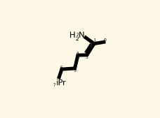 CC(N)=CCCCC(C)C